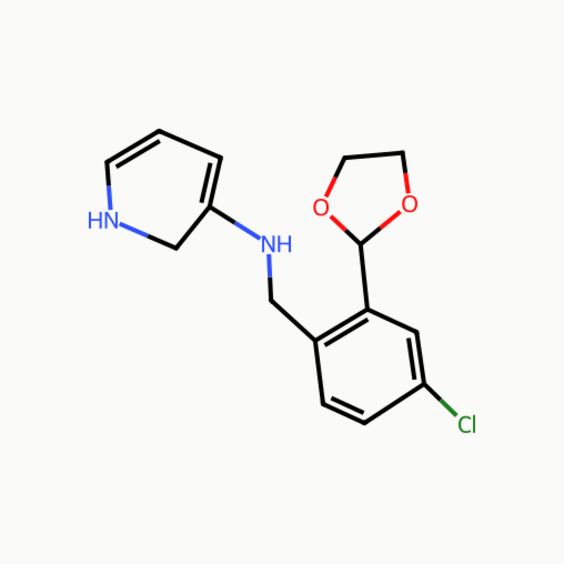 Clc1ccc(CNC2=CC=CNC2)c(C2OCCO2)c1